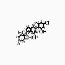 Cc1cc(Cl)cc(O)c1-c1cc2ccn(CC3(O)CCN(C)CC3)c2nn1.Cl